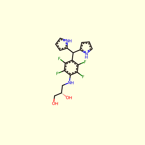 OC[C@@H](O)CNc1c(F)c(F)c(C(c2ccc[nH]2)c2ccc[nH]2)c(F)c1F